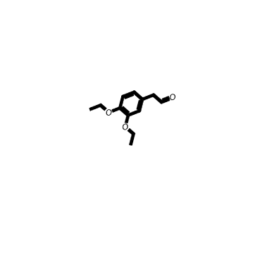 CCOc1ccc(CC=O)cc1OCC